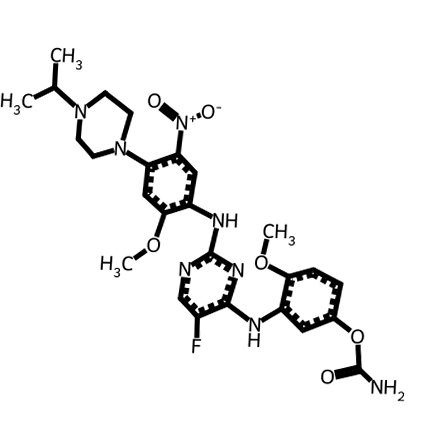 COc1cc(N2CCN(C(C)C)CC2)c([N+](=O)[O-])cc1Nc1ncc(F)c(Nc2cc(OC(N)=O)ccc2OC)n1